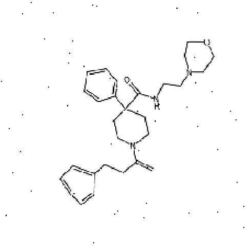 C=C(CCc1ccccc1)N1CCC(C(=O)NCCN2CCOCC2)(c2ccccc2)CC1